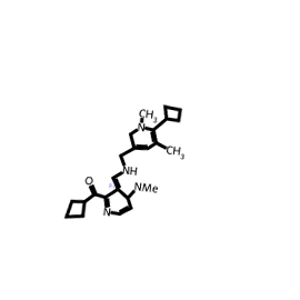 CNC1C=CN=C(C(=O)C2CCC2)/C1=C/NCC1=CC(C)=C(C2CCC2)N(C)C1